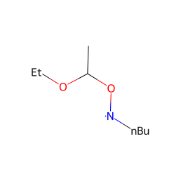 CCCC[N]OC(C)OCC